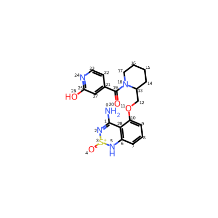 NC1=N[S+]([O-])Nc2cccc(OCC3CCCCN3C(=O)c3ccnc(O)c3)c21